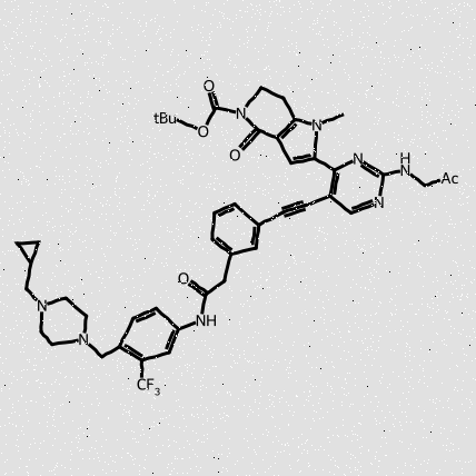 CC(=O)CNc1ncc(C#Cc2cccc(CC(=O)Nc3ccc(CN4CCN(CC5CC5)CC4)c(C(F)(F)F)c3)c2)c(-c2cc3c(n2C)CCN(C(=O)OC(C)(C)C)C3=O)n1